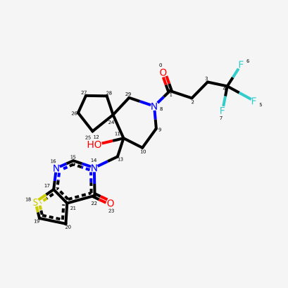 O=C(CCC(F)(F)F)N1CCC(O)(Cn2cnc3sccc3c2=O)C2(CCCC2)C1